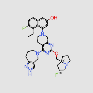 CCc1c(F)ccc2cc(O)cc(N3CCc4c(nc(OC[C@@]56CCCN5C[C@H](F)C6)nc4N4CCCc5n[nH]cc5C4)C3)c12